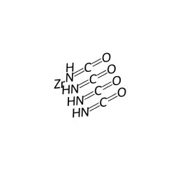 N=C=O.N=C=O.N=C=O.N=C=O.[Zr]